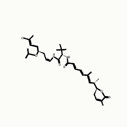 CC1=CC[C@@H]([C@@H](C)/C=C(C)/C=C/C=C/C(=O)N[C@H](C(=O)N/C=C\C[C@H](C/C=C(\C)Cl)OC(C)C)C(C)(C)C)OC1=O